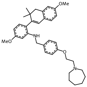 COc1ccc2c(c1)CC(C)(C)C(c1ccc(OC)cc1NCc1ccc(OCCN3CCCCCC3)cc1)=C2